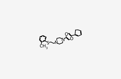 Cc1ccccc1SCCN1CCN(C2=COC(C3=CC=CCC3)=CO2)CC1